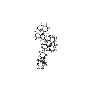 c1ccc(-c2cccc3cccc(-c4cccc(N(c5ccc(-c6ccc(C78CC9CC(CC(C9)C7)C8)cc6)cc5)c5cccc6oc7ccccc7c56)c4)c23)cc1